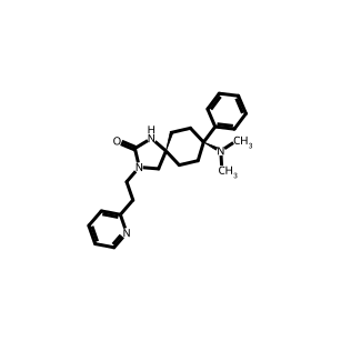 CN(C)[C@]1(c2ccccc2)CC[C@@]2(CC1)CN(CCc1ccccn1)C(=O)N2